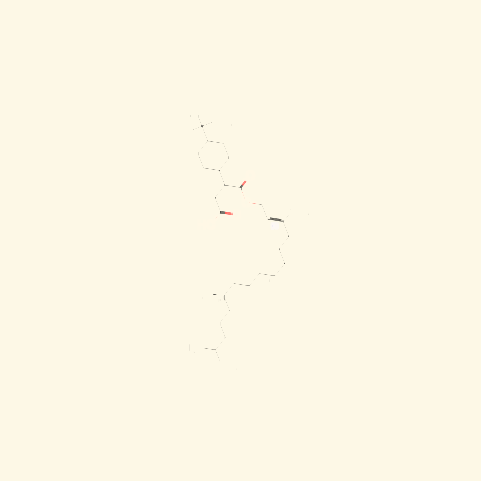 C/C(=C\COC(=O)C(CC(=O)O)C1CCC(C(C)(C)C)CC1)CCC[C@H](C)CCC[C@H](C)CCCC(C)C